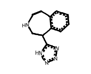 c1ccc2c(c1)CCNCC2c1nnn[nH]1